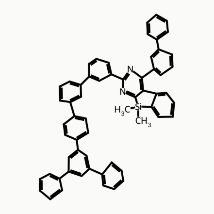 C[Si]1(C)c2ccccc2-c2c(-c3cccc(-c4ccccc4)c3)nc(-c3cccc(-c4cccc(-c5ccc(-c6cc(-c7ccccc7)cc(-c7ccccc7)c6)cc5)c4)c3)nc21